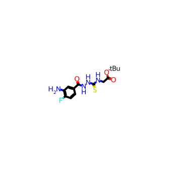 CC(C)(C)OC(=O)CNC(=S)NNC(=O)c1ccc(F)c(N)c1